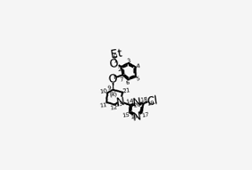 CCOc1ccccc1O[C@@H]1CCCN(c2cncc(Cl)n2)C1